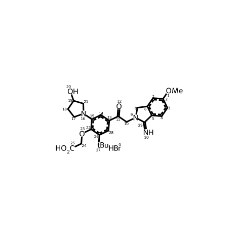 Br.COc1ccc2c(c1)CN(CC(=O)c1cc(N3CCC(O)C3)c(OCC(=O)O)c(C(C)(C)C)c1)C2=N